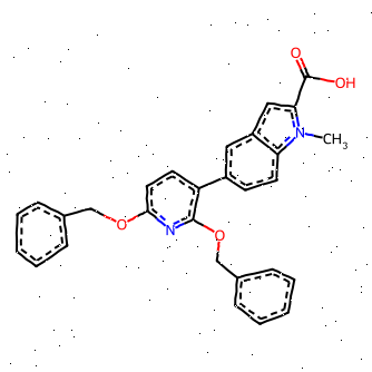 Cn1c(C(=O)O)cc2cc(-c3ccc(OCc4ccccc4)nc3OCc3ccccc3)ccc21